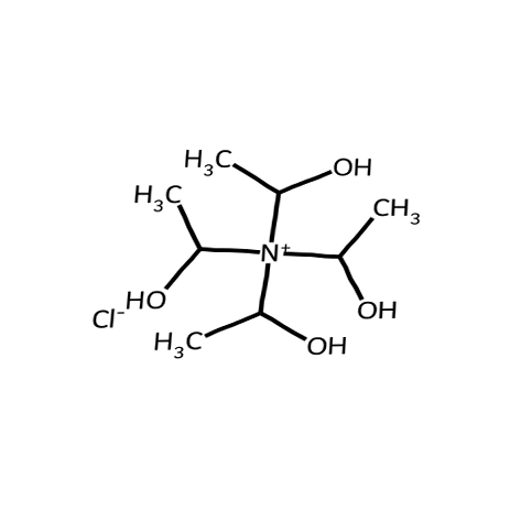 CC(O)[N+](C(C)O)(C(C)O)C(C)O.[Cl-]